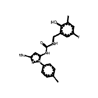 Cc1ccc(-n2nc(C(C)(C)C)cc2NC(=O)NCc2cc(F)cc(C)c2O)cc1